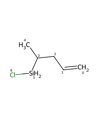 C=CCC(C)[SiH2]Cl